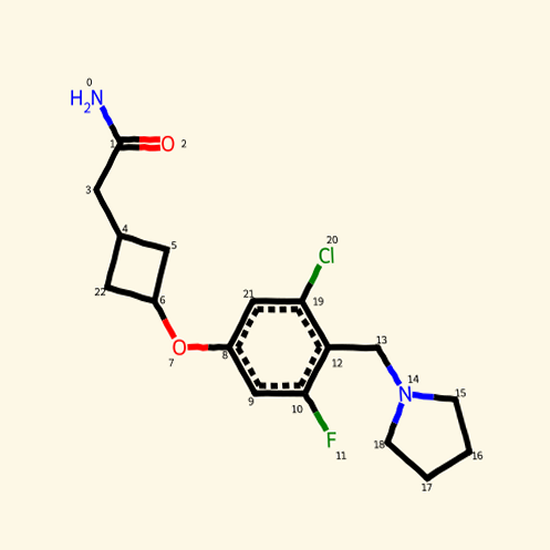 NC(=O)CC1CC(Oc2cc(F)c(CN3CCCC3)c(Cl)c2)C1